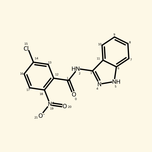 O=C(Nc1n[nH]c2ccccc12)c1cc(Cl)ccc1[N+](=O)[O-]